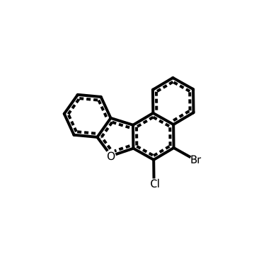 Clc1c(Br)c2ccccc2c2c1oc1ccccc12